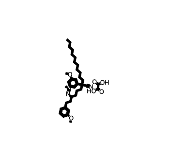 CCCCCCCCCCCCC(C#N)(CCCC(CCc1cccc(OC)c1)N=NC)c1cccc(OC)c1.O=C(O)C(=O)O